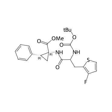 COC(=O)[C@@]1(NC(=O)C(Cc2sccc2F)NC(=O)OC(C)(C)C)C[C@@H]1c1ccccc1